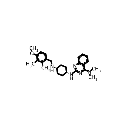 COc1ccc(CN[C@H]2CC[C@@H](Nc3nc(N(C)C)c4ccccc4n3)CC2)c(C)c1C